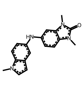 Cn1ccc2cc(Nc3ccc4c(c3)n(C)c(=O)n4C)ccc21